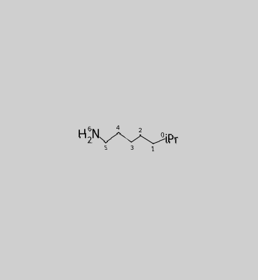 [CH2]C(C)CCCCCN